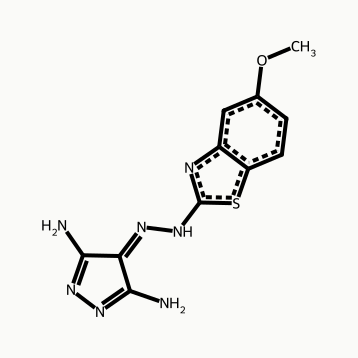 COc1ccc2sc(NN=C3C(N)=NN=C3N)nc2c1